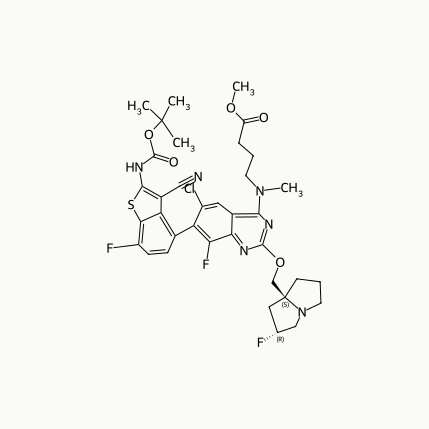 COC(=O)CCCN(C)c1nc(OC[C@@]23CCCN2C[C@H](F)C3)nc2c(F)c(-c3ccc(F)c4sc(NC(=O)OC(C)(C)C)c(C#N)c34)c(Cl)cc12